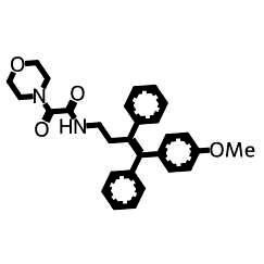 COc1ccc(C(=C(CCNC(=O)C(=O)N2CCOCC2)c2ccccc2)c2ccccc2)cc1